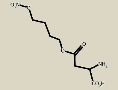 NC(CC(=O)OCCCCO[N+](=O)[O-])C(=O)O